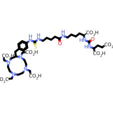 O=C(O)CCC(NC(=O)N[C@@H](CCCCNC(=O)CCCCNC(=S)Nc1ccc(CC2CN(CC(=O)O)CCN(CC(=O)O)CCN(CC(=O)O)CCN2CC(=O)O)cc1)C(=O)O)C(=O)O